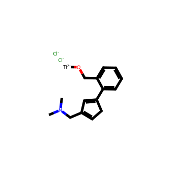 CN(C)CC1=CCC(c2ccccc2C[O][Ti+2])=C1.[Cl-].[Cl-]